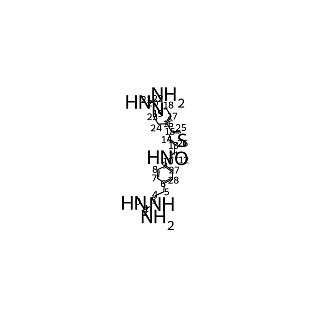 N=C(N)NCCc1ccc(NC(=O)c2cc(C3=CCN(C(=N)N)CC3)cs2)cc1